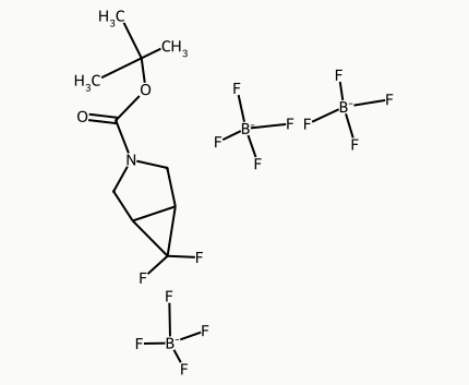 CC(C)(C)OC(=O)N1CC2C(C1)C2(F)F.F[B-](F)(F)F.F[B-](F)(F)F.F[B-](F)(F)F